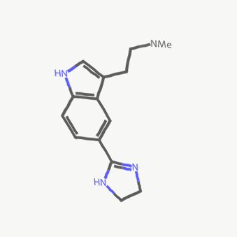 CNCCc1c[nH]c2ccc(C3=NCCN3)cc12